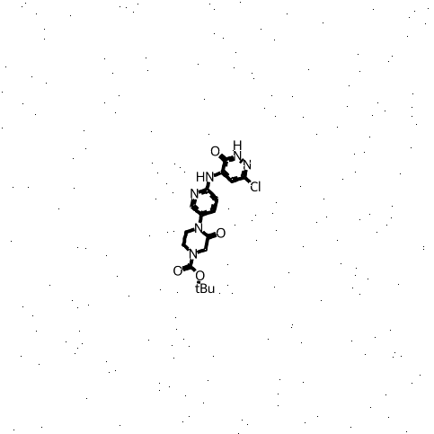 CC(C)(C)OC(=O)N1CCN(c2ccc(Nc3cc(Cl)n[nH]c3=O)nc2)C(=O)C1